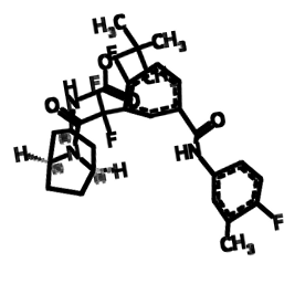 Cc1cc(NC(=O)c2ccc(F)c(C(F)(F)C(=O)N3[C@@H]4CC[C@H]3C[C@@H](NC(=O)OC(C)(C)C)C4)c2)ccc1F